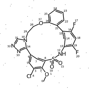 COc1c(Cl)cc2cc1S(=O)(=O)Nc1cc(c(F)cc1F)-c1ccccc1OCCn1cnnc1-2